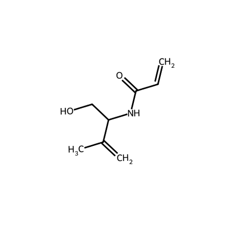 C=CC(=O)NC(CO)C(=C)C